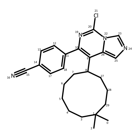 CC1(C)CCCCCC(c2c(-c3ccc(C#N)cc3)nc(Cl)n3cncc23)CCC1